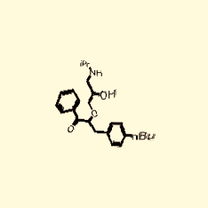 CCCCc1ccc(CC(OCC(O)CNC(C)C)C(=O)c2ccccc2)cc1